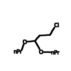 CCCOC(CCCl)OCCC